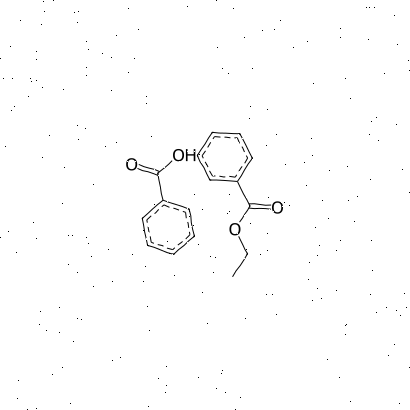 CCOC(=O)c1ccccc1.O=C(O)c1ccccc1